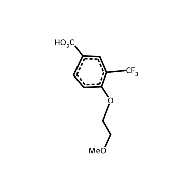 COCCOc1ccc(C(=O)O)cc1C(F)(F)F